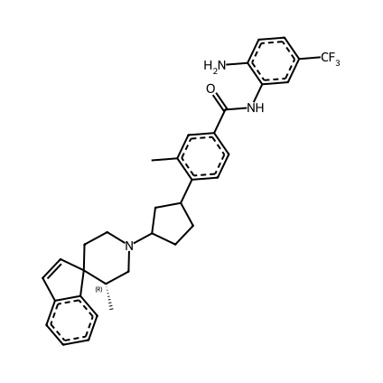 Cc1cc(C(=O)Nc2cc(C(F)(F)F)ccc2N)ccc1C1CCC(N2CCC3(C=Cc4ccccc43)[C@@H](C)C2)C1